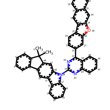 CC1(C)c2ccccc2-c2cc3c4ccccc4n(-c4nc(-c5ccc6c(c5)oc5cc7ccccc7cc56)c5ccccc5n4)c3cc21